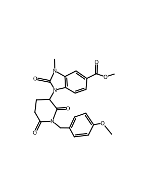 COC(=O)c1ccc2c(c1)n(C)c(=O)n2C1CCC(=O)N(Cc2ccc(OC)cc2)C1=O